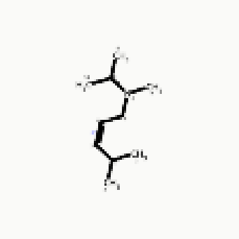 CC(C)/C=C\CN(C)C(C)C